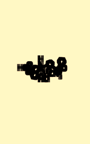 COc1c(-c2nc3c(cc(S(=O)(=O)O)c4cccc(O)c43)[nH]2)cccc1-c1cccc2oc3ccccc3c12.Cl